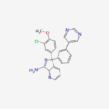 COc1ccc(C2(c3cccc(-c4cncnc4)c3)N=C(N)c3ncccc32)cc1Cl